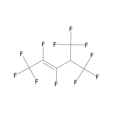 FC(=C(F)C(F)(F)F)C(C(F)(F)F)C(F)(F)F